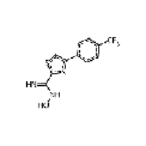 N=C(NO)c1nc(-c2ccc(C(F)(F)F)cc2)cs1